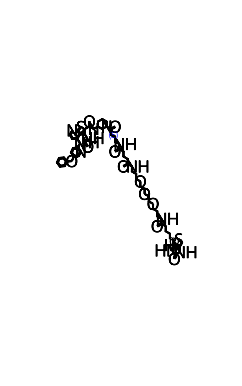 O=C(CCCC(=O)NCCCOCCOCCOCCCNC(=O)CCCC[C@H]1SCC2NC(=O)N[C@H]21)NC/C=C/C(=O)N1CCCC(NC(=O)c2sc3nccc4c3c2NC(=O)N4c2ccc(Oc3ccccc3)cn2)C1